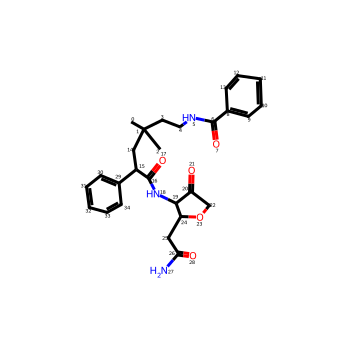 CC(C)(CCNC(=O)c1ccccc1)CC(C(=O)NC1C(=O)COC1CC(N)=O)c1ccccc1